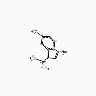 Cc1ccc2c(c1)C([SiH](C)C)C=C2.[NaH]